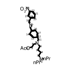 CCCN(CCC)CCCCN(CCOC(C)=O)Cc1ccc(CN=Cc2cccc([N+](=O)[O-])c2)cc1